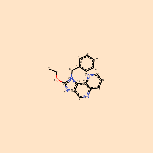 CCOc1nc2cnc3cccnc3c2n1Cc1ccccc1